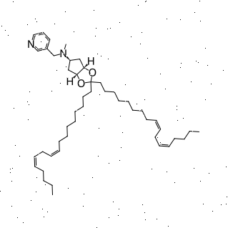 CCCC/C=C\C/C=C\CCCCCCCCC1(CCCCCCCC/C=C\C/C=C\CCCC)O[C@H]2C[C@H](N(C)Cc3cccnc3)C[C@H]2O1